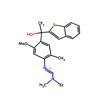 CCN(C)/C=N/c1cc(OC)c(C(O)(c2cc3ccccc3s2)C(F)(F)F)cc1C